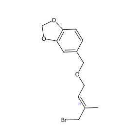 C/C(=C\COCc1ccc2c(c1)OCO2)CBr